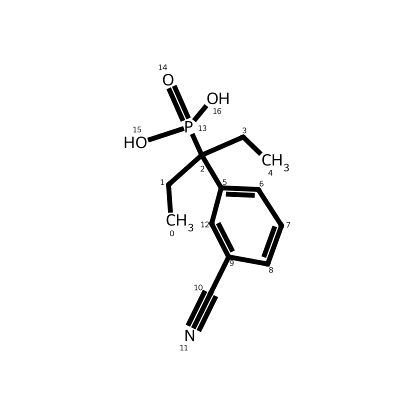 CCC(CC)(c1cccc(C#N)c1)P(=O)(O)O